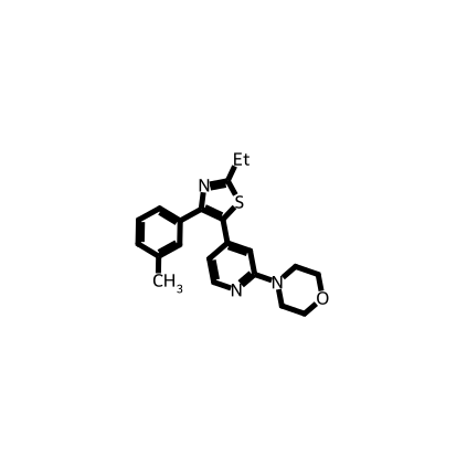 CCc1nc(-c2cccc(C)c2)c(-c2ccnc(N3CCOCC3)c2)s1